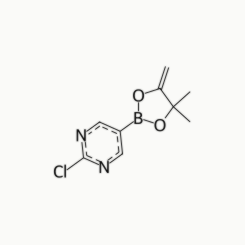 C=C1OB(c2cnc(Cl)nc2)OC1(C)C